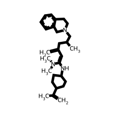 C=C(/C=C(/NC1CCC(C(=C)C)CC1)N(C)C)CC(C)CN1CCc2ccccc2C1